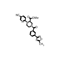 COC(=O)C1CN(C(=O)c2cccc(-c3noc(C)n3)c2)CCN1c1ccc(C#N)cn1